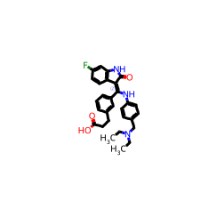 CCN(CC)Cc1ccc(N/C(=C2\C(=O)Nc3cc(F)ccc32)c2cccc(CCC(=O)O)c2)cc1